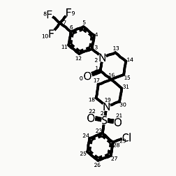 O=C1N(c2ccc(C(F)(F)F)cc2)CCCC12CCN(S(=O)(=O)c1ccccc1Cl)CC2